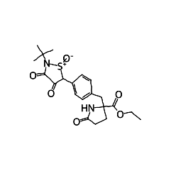 CCOC(=O)C1(Cc2ccc(C3C(=O)C(=O)N(C(C)(C)C)[S+]3[O-])cc2)CCC(=O)N1